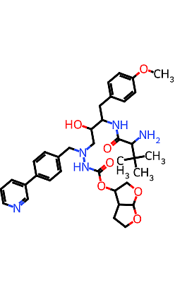 COc1ccc(CC(NC(=O)C(N)C(C)(C)C)C(O)CN(Cc2ccc(-c3cccnc3)cc2)NC(=O)OC2COC3OCCC23)cc1